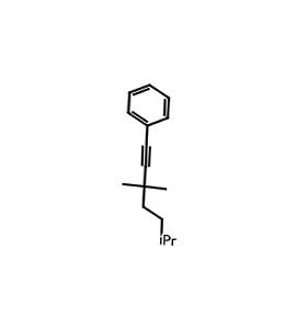 CC(C)CCC(C)(C)C#Cc1ccccc1